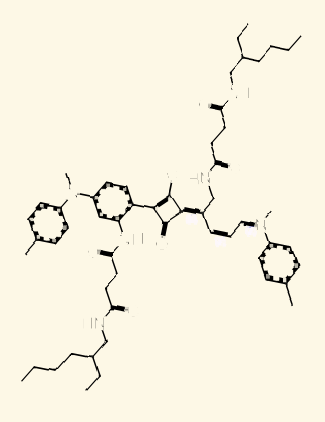 CCCCC(CC)CNC(=O)CCC(=O)NCC(/C=C\C=[N+](\C)c1ccc(C)cc1)=C1/C(=O)C(c2ccc(N(C)c3ccc(C)cc3)cc2NC(=O)CCC(=O)NCC(CC)CCCC)=C1[O-]